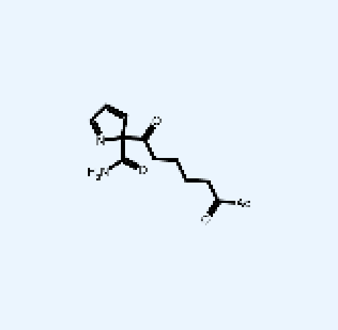 CC(=O)C(=O)CCCCC(=O)C1(C(N)=O)C=CC=N1